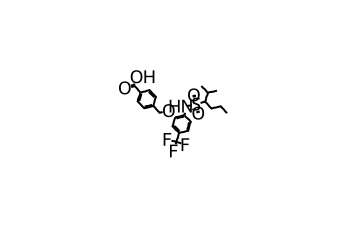 CCCC(C(C)C)S(=O)(=O)Nc1ccc(C(F)(F)F)cc1OCc1ccc(C(=O)O)cc1